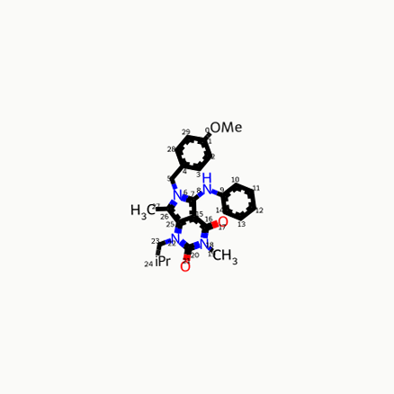 COc1ccc(Cn2c(Nc3ccccc3)c3c(=O)n(C)c(=O)n(CC(C)C)c3c2C)cc1